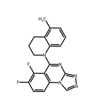 Cc1cccc2c1CCCN2c1nc2nncn2c2ccc(F)c(F)c12